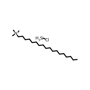 CCCCCCCCCCCCCCCCCC[N+](C)(C)C.[SiH3]Cl